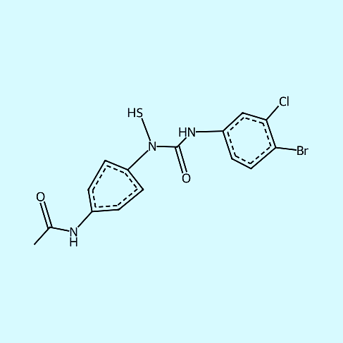 CC(=O)Nc1ccc(N(S)C(=O)Nc2ccc(Br)c(Cl)c2)cc1